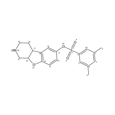 Cc1cc(C)cc(S(=O)(=O)Oc2ccc3c(c2)C2CCNCC2O3)c1